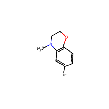 BN1CCOc2ccc(C(C)C)cc21